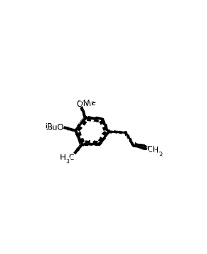 C=CCc1cc(C)c(OCC(C)C)c(OC)c1